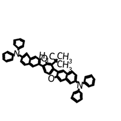 CC(C)(C)c1c2oc3cc4cc(N(c5ccccc5)c5ccccc5)ccc4cc3c2cc2oc3cc4cc(N(c5ccccc5)c5ccccc5)ccc4cc3c12